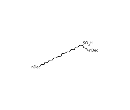 CCCCCCCCCCCCCCCCCCCCCCCCCCCCCC(CCCCCCCCCCCCC)S(=O)(=O)O